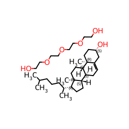 CC(C)CCCC(C)[C@H]1CC[C@H]2[C@@H]3CC=C4C[C@@H](O)CC[C@]4(C)[C@H]3CC[C@]12C.OCCOCCOCCOCCO